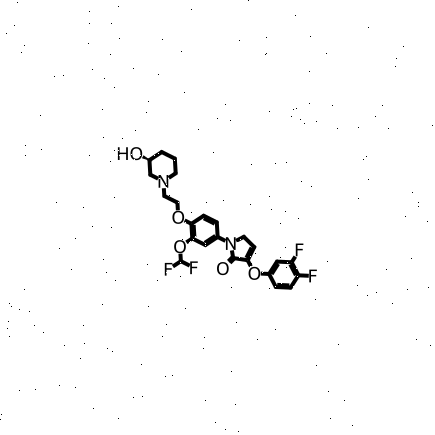 O=C1C(Oc2ccc(F)c(F)c2)=CCN1c1ccc(OCCN2CCC[C@H](O)C2)c(OC(F)F)c1